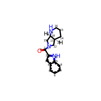 O=C(c1cc2ccccc2[nH]1)N1C[C@@H]2CCCN[C@@H]2C1